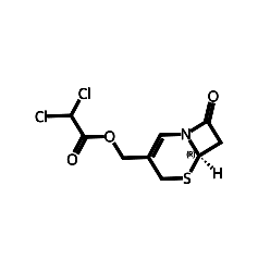 O=C(OCC1=CN2C(=O)C[C@H]2SC1)C(Cl)Cl